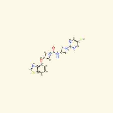 O=C(NC1CN(c2ncc(F)cn2)C1)N1CC(Oc2cccc3scnc23)C1